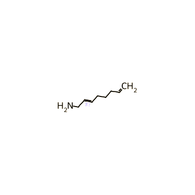 C=CCCC/C=C/CN